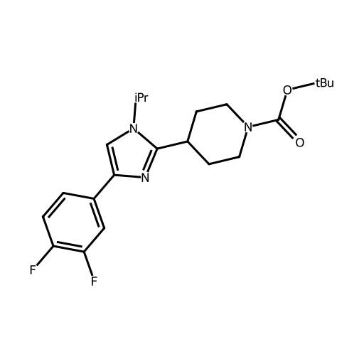 CC(C)n1cc(-c2ccc(F)c(F)c2)nc1C1CCN(C(=O)OC(C)(C)C)CC1